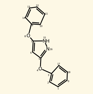 c1ccc(Oc2cc(Oc3ccccc3)[nH]n2)cc1